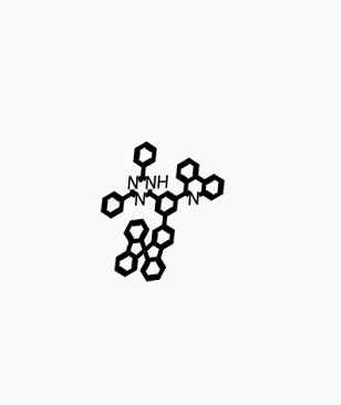 c1ccc(C2=NC(c3cc(-c4ccc5c(c4)C4(c6ccccc6-c6ccccc64)c4ccccc4-5)cc(-c4nc5ccccc5c5ccccc45)c3)NC(c3ccccc3)=N2)cc1